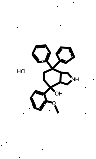 COc1ccccc1C1(O)CCC(c2ccccc2)(c2ccccc2)C2CNCC21.Cl